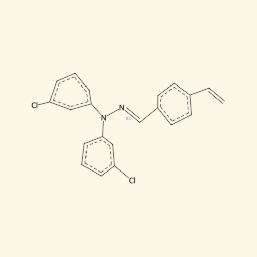 C=Cc1ccc(/C=N/N(c2cccc(Cl)c2)c2cccc(Cl)c2)cc1